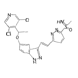 CC(Oc1ccc2[nH]nc(/C=C/c3ccc(S(C)(=N)=O)nn3)c2c1)c1c(Cl)cncc1Cl